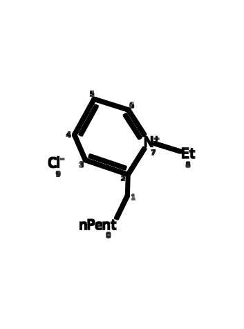 CCCCCCc1cccc[n+]1CC.[Cl-]